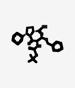 CC(OCc1ccccc1)C(NC(=O)OC(C)(C)C)C(=O)N1[C@@H](C(=O)O)CC[C@H]1c1ccccc1